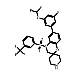 O=S(=O)(c1cccc(C(F)(F)F)c1)N1CC2(CCNCC2)Oc2ccc(-c3cc(F)cc(OC(F)F)c3)cc21